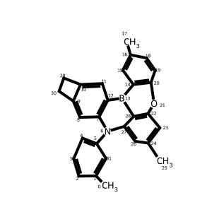 Cc1cccc(N2c3cc4c(cc3B3c5cc(C)ccc5Oc5cc(C)cc2c53)CC4)c1